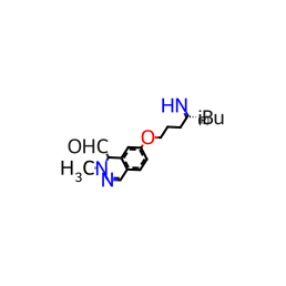 CC[C@@H](C)C(=N)CCCOc1ccc2c(c1)C(C=O)N(C)N=C2